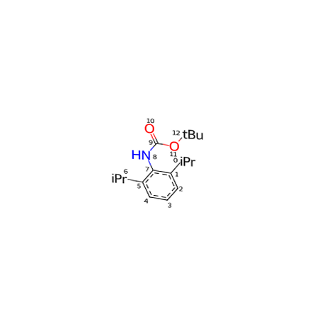 CC(C)c1cccc(C(C)C)c1NC(=O)OC(C)(C)C